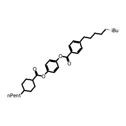 CCCCCC1CCC(C(=O)Oc2ccc(OC(=O)c3ccc(CCCCC[C@@H](C)CC)cc3)cc2)CC1